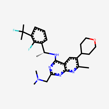 Cc1nc2nc(CN(C)C)nc(N[C@H](C)c3cccc(C(C)(C)F)c3F)c2cc1C1CCOCC1